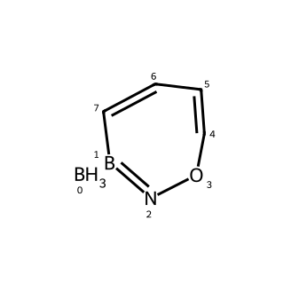 B.B1=NOC=CC=C1